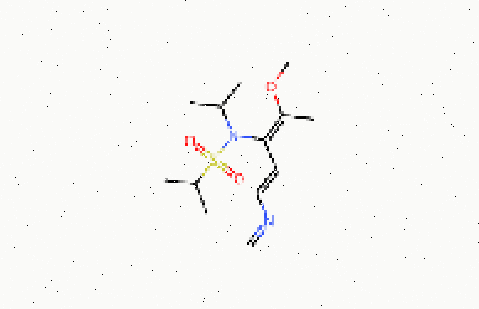 C=N/C=C/C(=C(\C)OC)N(C(C)C)S(=O)(=O)C(C)C